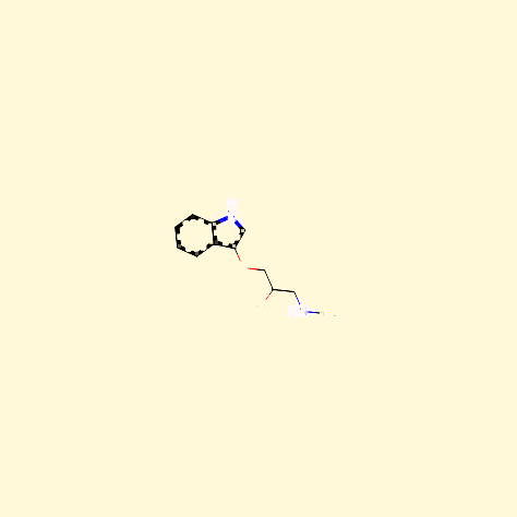 CC(C)(C)NCC(O)COc1c[nH]c2ccccc12